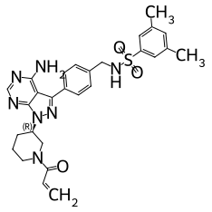 C=CC(=O)N1CCC[C@@H](n2nc(-c3ccc(CNS(=O)(=O)c4cc(C)cc(C)c4)cc3)c3c(N)ncnc32)C1